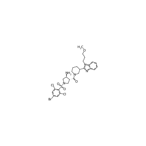 COCCCn1c(C2CCCN(C(=O)[C@@H]3CN(S(=O)(=O)c4c(Cl)cc(Br)cc4Cl)C[C@H]3N)C2)nc2ccccc21